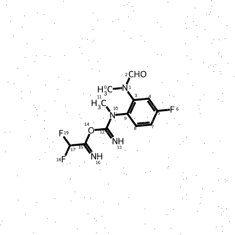 CN(C=O)c1cc(F)ccc1N(C)C(=N)OC(=N)C(F)F